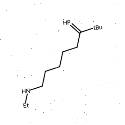 CCNCCCCCC(=P)C(C)(C)C